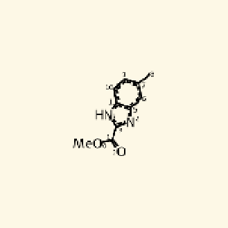 COC(=O)c1nc2cc(C)ccc2[nH]1